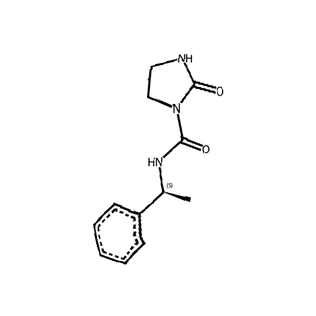 C[C@H](NC(=O)N1CCNC1=O)c1ccccc1